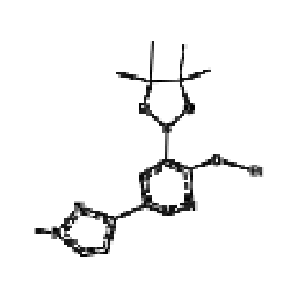 CCOc1ncc(-c2ccn(C)n2)cc1B1OC(C)(C)C(C)(C)O1